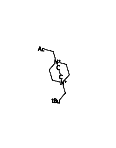 CC(=O)C[N+]12CC[N+](CC(C)(C)C)(CC1)CC2